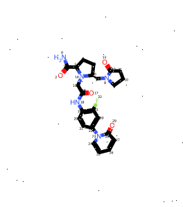 NC(=O)C1[CH]C[C@@H](CN2CCCC2=O)N1CC(=O)Nc1ccc(-n2ccccc2=O)cc1F